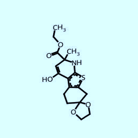 CCOC(=O)C1(C)C=C(O)c2c(sc3c2CCC2(C3)OCCO2)N1